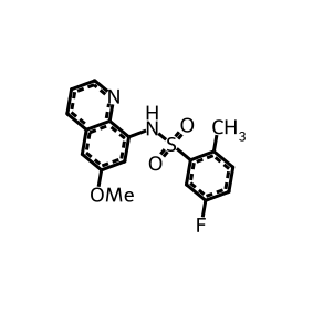 COc1cc(NS(=O)(=O)c2cc(F)ccc2C)c2ncccc2c1